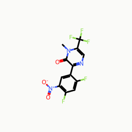 Cn1c(C(F)(F)F)cnc(-c2cc([N+](=O)[O-])c(F)cc2F)c1=O